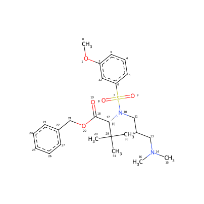 COc1cccc(S(=O)(=O)N(CCCN(C)C)[C@@H](C(=O)OCc2ccccc2)C(C)(C)C)c1